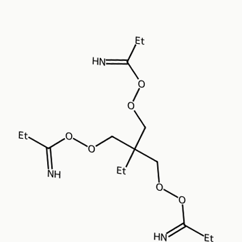 CCC(=N)OOCC(CC)(COOC(=N)CC)COOC(=N)CC